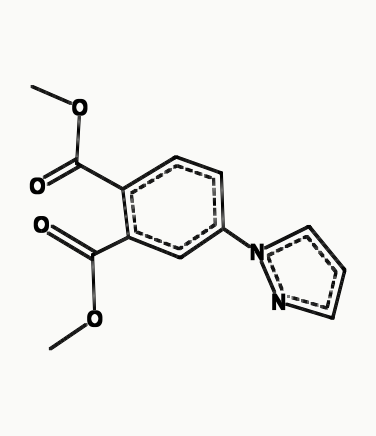 COC(=O)c1ccc(-n2cccn2)cc1C(=O)OC